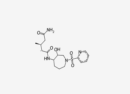 C[C@H]([CH]C(=O)NC1CCCN(S(=O)(=O)c2ccccn2)CC1O)CC(N)=O